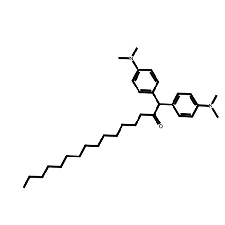 CCCCCCCCCCCCCCC(=O)C(c1ccc(N(C)C)cc1)c1ccc(N(C)C)cc1